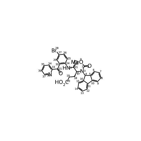 COC(=O)N(C1c2ccccc2-c2ccccc21)[C@@H](CCC(=O)O)C(=O)Nc1ccc(Br)cc1C(=O)c1ccccn1